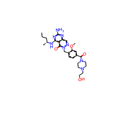 CCC[C@H](C)Nc1nc(N)nc2cnn(Cc3ccc(C(=O)N4CCN(CCO)CC4)cc3OC)c(=O)c12